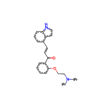 CC(C)N(CCOc1ccccc1C(=O)/C=C/c1cccc2[nH]ccc12)C(C)C